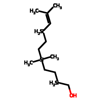 CC(C)=C[SiH2]CC[Si](C)(C)CC[SiH2]CO